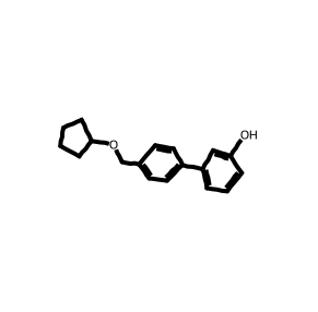 Oc1cccc(-c2ccc(COC3CCCC3)cc2)c1